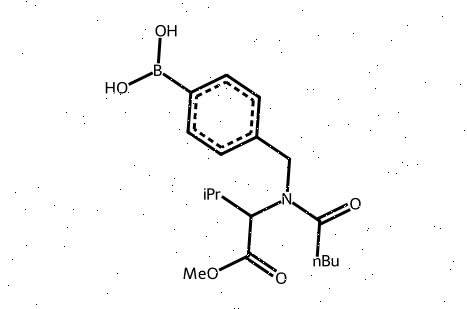 CCCCC(=O)N(Cc1ccc(B(O)O)cc1)C(C(=O)OC)C(C)C